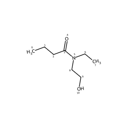 CCCC(=O)N(CC)CCO